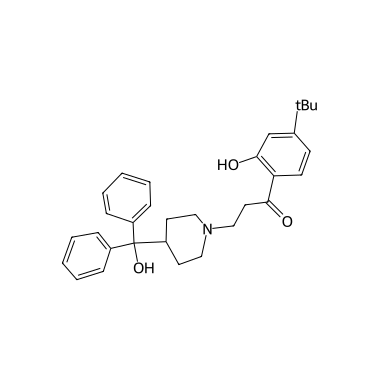 CC(C)(C)c1ccc(C(=O)CCN2CCC(C(O)(c3ccccc3)c3ccccc3)CC2)c(O)c1